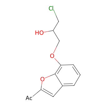 CC(=O)c1cc2cccc(OCC(O)CCl)c2o1